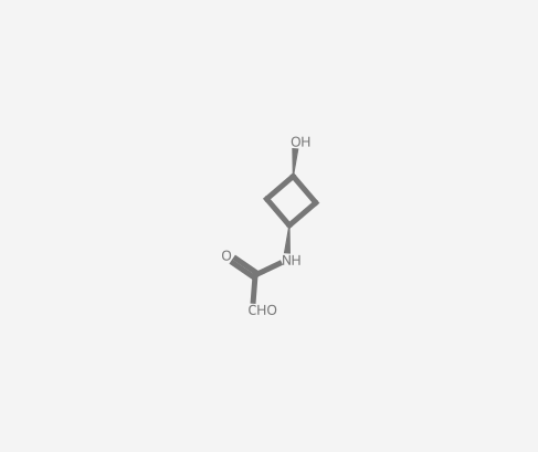 O=CC(=O)N[C@H]1C[C@@H](O)C1